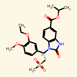 CCOc1cc([C@@H](CS(C)(=O)=O)n2c(=O)[nH]c3cc(C(=O)OC(C)C)ccc32)ccc1OC